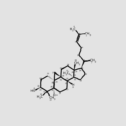 CC(C)=CCCC(C)[C@H]1CC[C@@]2(C)[C@@H]3CC[C@H]4C(C)(C)[C@@H](O)CC[C@@]45C[C@@]35CC[C@]12C